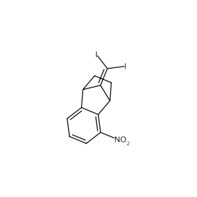 O=[N+]([O-])c1cccc2c1C1CCC2C1=C(I)I